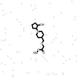 CC(C)(C)OC(=O)COCC1CCN(C2CCCC2O)CC1